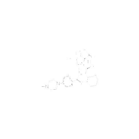 CN1CCN(c2ccc(C(=O)N[C@H](C(=O)N3C[C@H](Cl)[C@H]4OCC(=O)[C@H]43)C3CCCCC3)cc2)CC1